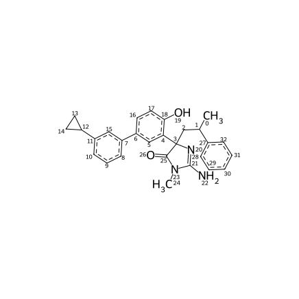 CC(CC1(c2cc(-c3cccc(C4CC4)c3)ccc2O)N=C(N)N(C)C1=O)c1ccccc1